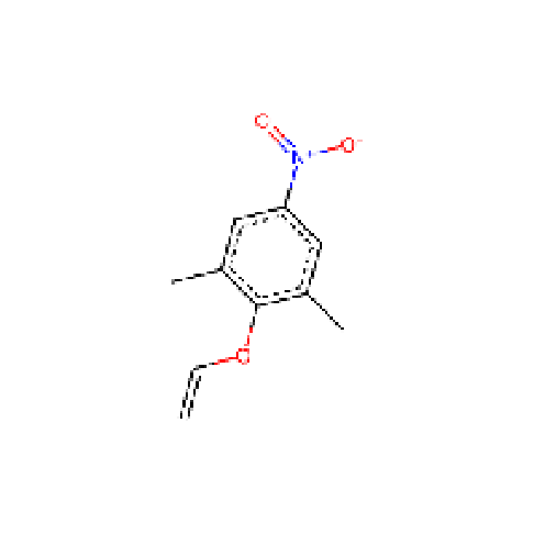 C=COc1c(C)cc([N+](=O)[O-])cc1C